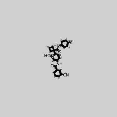 N#Cc1cccc(C(=O)Nc2ccc(C3(C(=O)Nc4ccc(F)cc4)CCC3)[n+](O)c2)c1